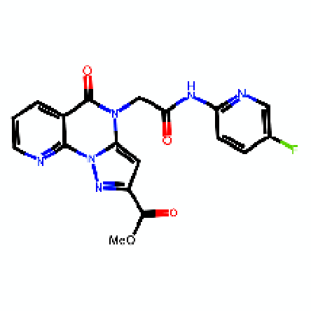 COC(=O)c1cc2n(CC(=O)Nc3ccc(F)cn3)c(=O)c3cccnc3n2n1